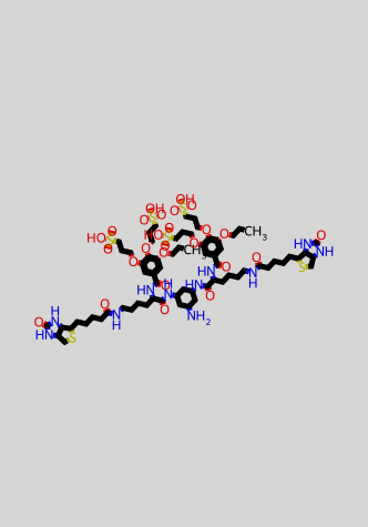 CCCOc1cc(C(=O)NC(CCCCNC(=O)CCCCC2SCC3NC(=O)NC32)C(=O)NC2CC(N)CC(NC(=O)C(CCCCNC(=O)CCCCC3SCC4NC(=O)NC43)NC(=O)c3cc(OCCC)c(OCCCS(=O)(=O)O)c(OCCCS(=O)(=O)O)c3)C2)cc(OCCCS(=O)(=O)O)c1OCCCS(=O)(=O)O